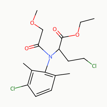 CCOC(=O)C(CCCl)N(C(=O)COC)c1c(C)ccc(Cl)c1C